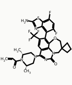 C=CC(=O)N1[C@H](C)CN(c2nc(=O)n3c4c(c(-c5c(F)cc(F)c6sc(N)nc56)c(C(F)(F)F)cc24)OCC2(CCC2)C3)C[C@@H]1C